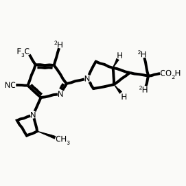 [2H]c1c(N2C[C@@H]3C(C([2H])([2H])C(=O)O)[C@@H]3C2)nc(N2CC[C@@H]2C)c(C#N)c1C(F)(F)F